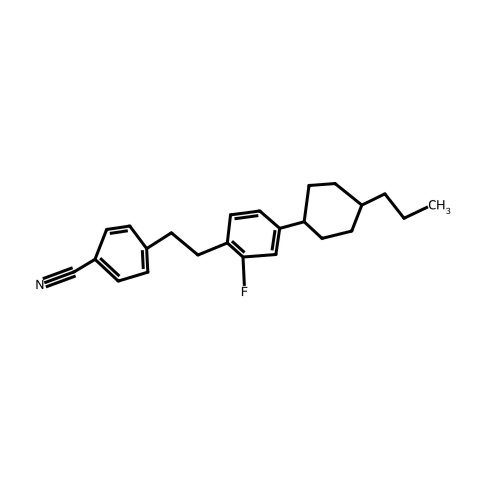 CCCC1CCC(c2ccc(CCc3ccc(C#N)cc3)c(F)c2)CC1